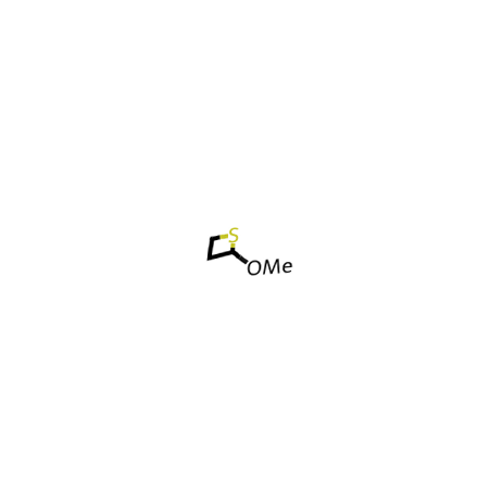 COC1CCS1